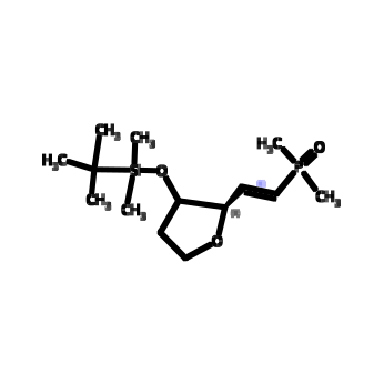 CC(C)(C)[Si](C)(C)OC1CCO[C@@H]1/C=C/P(C)(C)=O